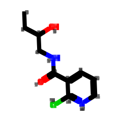 CCC(O)CNC(=O)c1cccnc1Cl